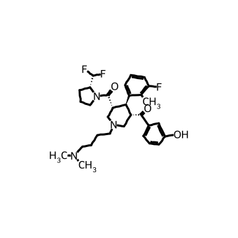 Cc1c(F)cccc1[C@@H]1[C@@H](C(=O)N2CCC[C@@H]2C(F)F)CN(CCCCN(C)C)C[C@H]1C(=O)c1cccc(O)c1